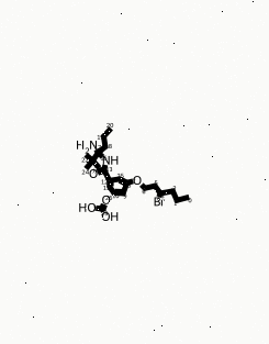 CCCC(Br)CCOc1cccc(C(=O)NC(N)(CCC)C(C)(C)C)c1.O=C(O)O